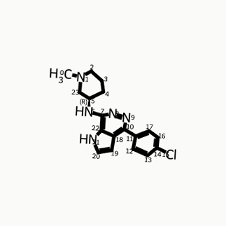 CN1CCC[C@@H](Nc2nnc(-c3ccc(Cl)cc3)c3cc[nH]c23)C1